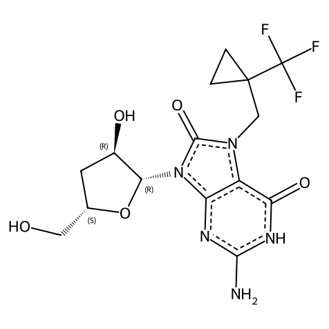 Nc1nc2c(c(=O)[nH]1)n(CC1(C(F)(F)F)CC1)c(=O)n2[C@@H]1O[C@H](CO)C[C@H]1O